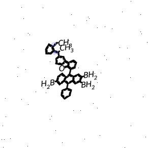 Bc1ccc2c(-c3cccc4c3oc3ccc(/C(C)=c5\cccc\c5=C\C)cc34)c3cc(B)c(B)cc3c(-c3ccccc3)c2c1